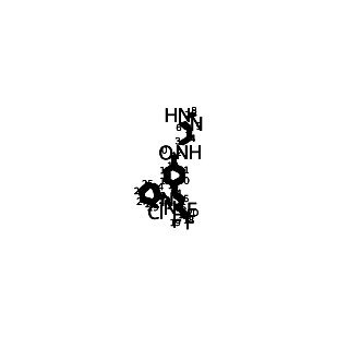 O=C(NCCc1c[nH]cn1)c1ccc(-c2cc(C(F)(F)F)nn2-c2ccccc2Cl)cc1